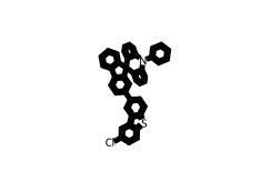 Clc1ccc2sc3ccc(-c4ccc5c(c4)C4(c6ccccc6-5)c5ccccc5N(c5ccccc5)c5ccccc54)cc3c2c1